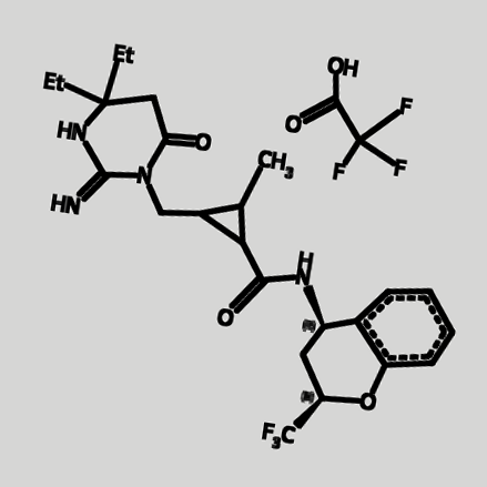 CCC1(CC)CC(=O)N(CC2C(C)C2C(=O)N[C@@H]2C[C@H](C(F)(F)F)Oc3ccccc32)C(=N)N1.O=C(O)C(F)(F)F